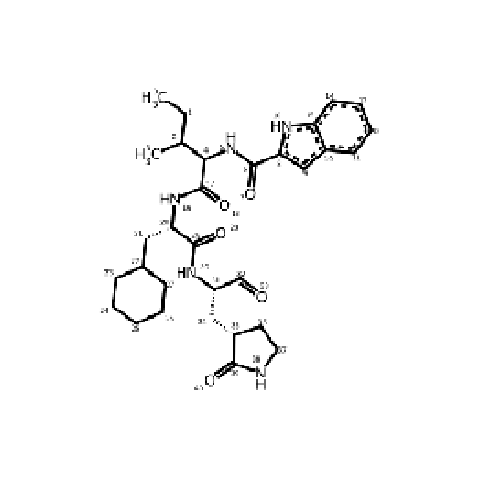 CCC(C)C(NC(=O)c1cc2ccccc2[nH]1)C(=O)N[C@@H](CC1CCCCC1)C(=O)N[C@H](C=O)C[C@@H]1CCNC1=O